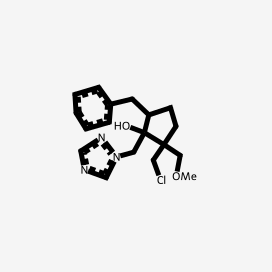 COCC1(CCl)CCC(Cc2ccccc2)C1(O)Cn1cncn1